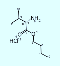 CCCCOC(=O)[C@@H](N)C(C)C.Cl